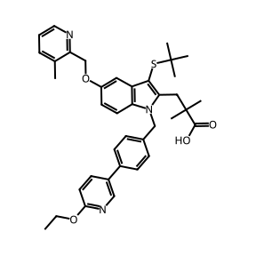 CCOc1ccc(-c2ccc(Cn3c(CC(C)(C)C(=O)O)c(SC(C)(C)C)c4cc(OCc5ncccc5C)ccc43)cc2)cn1